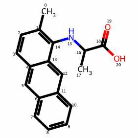 Cc1ccc2cc3ccccc3cc2c1NC(C)C(=O)O